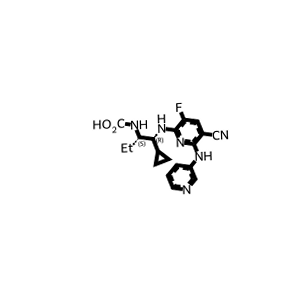 CC[C@H](NC(=O)O)[C@H](Nc1nc(Nc2cccnc2)c(C#N)cc1F)C1CC1